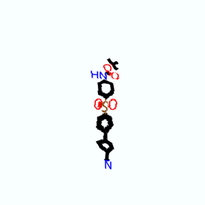 CC(C)(C)OC(=O)N[C@H]1CC[C@H](S(=O)(=O)c2ccc(-c3ccc(C#N)cc3)cc2)CC1